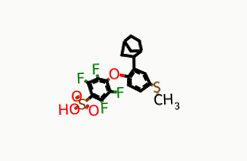 CSc1ccc(Oc2c(F)c(F)c(S(=O)(=O)O)c(F)c2F)c(C2CC3CCC2C3)c1